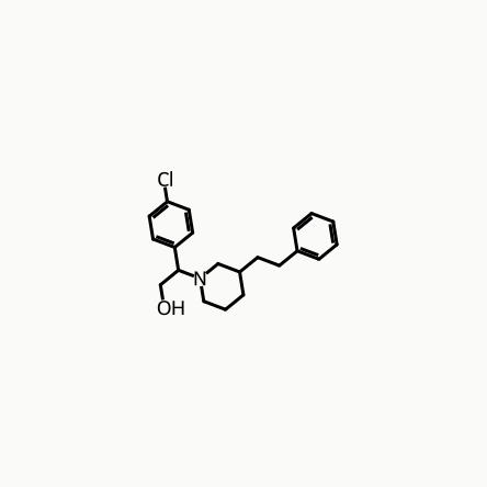 OCC(c1ccc(Cl)cc1)N1CCCC(CCc2ccccc2)C1